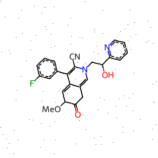 COC1C=C2C(=CN(CC(O)c3ccccn3)C(C#N)=C2c2cccc(F)c2)CC1=O